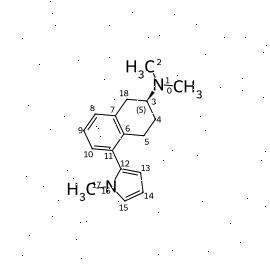 CN(C)[C@H]1CCc2c(cccc2-c2cccn2C)C1